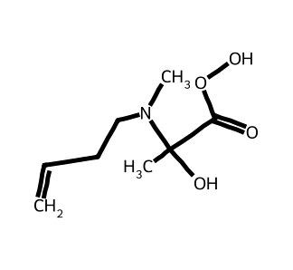 C=CCCN(C)C(C)(O)C(=O)OO